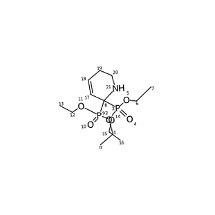 CCOP(=O)(OCC)C1(P(=O)(OCC)OCC)C=CCCN1